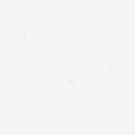 C[C@H](O)c1ccc(N2C(=O)CCC2COCc2ccc(C(=O)O)s2)cc1